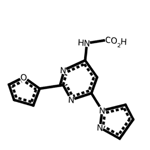 O=C(O)Nc1cc(-n2cccn2)nc(-c2ccco2)n1